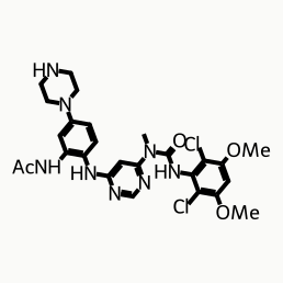 COc1cc(OC)c(Cl)c(NC(=O)N(C)c2cc(Nc3ccc(N4CCNCC4)cc3NC(C)=O)ncn2)c1Cl